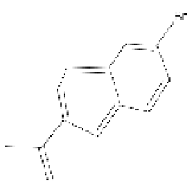 C=C(C)c1ccc2cc(Br)ccc2c1